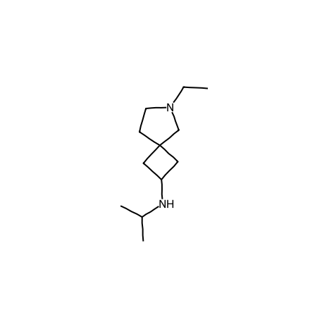 CCN1CCC2(CC(NC(C)C)C2)C1